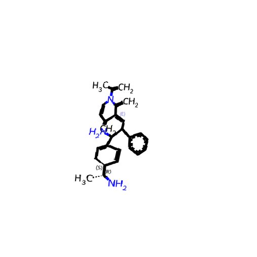 C=C1C=CN(C(=C)C)C(=C)/C1=C/C(c1ccccc1)C(N)C1=CC[C@H]([C@@H](C)N)C=C1